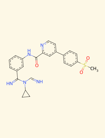 CS(=O)(=O)c1ccc(-c2ccnc(C(=O)Nc3cccc(C(=N)N(C=N)C4CC4)c3)c2)cc1